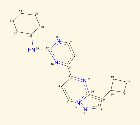 c1cc(-c2ccn3ncc(C4CCC4)c3n2)nc(NC2CCCCC2)n1